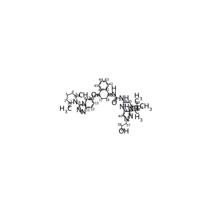 C[C@@H]1CCC[C@H](C)N1c1nnc2ccc(O[C@@H]3CC[C@H](NC(=O)N/C(=C/C(=N)C(C)(C)C)Nc4cnn(CCO)c4)c4ccccc43)cn12